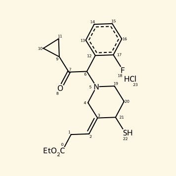 CCOC(=O)C/C=C1\CN(C(C(=O)C2CC2)c2ccccc2F)CCC1S.Cl